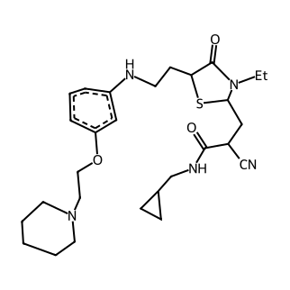 CCN1C(=O)C(CCNc2cccc(OCCN3CCCCC3)c2)SC1CC(C#N)C(=O)NCC1CC1